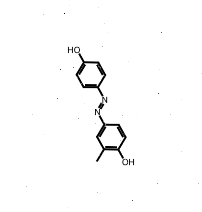 Cc1cc(N=Nc2ccc(O)cc2)ccc1O